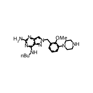 CCCCNc1nc(N)nc2cn(Cc3cccc(N4CCNCC4)c3OC)nc12